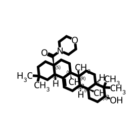 CC1(C)CC[C@]2(C(=O)N3CCOCC3)CC[C@]3(C)C(=CC[C@@H]4[C@@]5(C)CC[C@H](O)C(C)(C)[C@@H]5CC[C@]43C)[C@@H]2C1